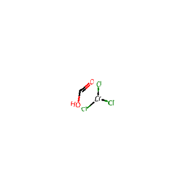 O=CO.[Cl][Cr]([Cl])[Cl]